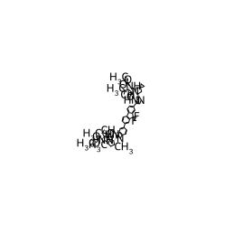 COC(=O)N[C@H](C(=O)N1CC2(CC2)C[C@H]1c1ncc(-c2ccc3c(c2)C(F)(F)c2cc(-c4ccc5nc([C@@H]6[C@@H](C)C[C@@H](C)N6C(=O)[C@@H](NC(=O)OC)C(C)C)[nH]c5c4)ccc2-3)[nH]1)C(C)C